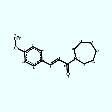 CCCOc1ccc(C=CC(=O)N2CCCCCC2)cc1